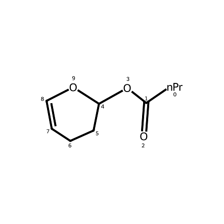 CCCC(=O)OC1CCC=CO1